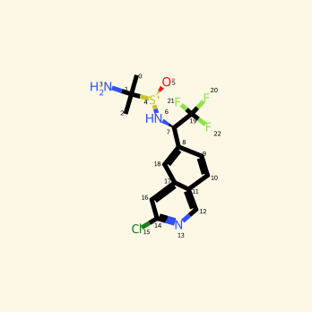 CC(C)(N)[S@@+]([O-])N[C@H](c1ccc2cnc(Cl)cc2c1)C(F)(F)F